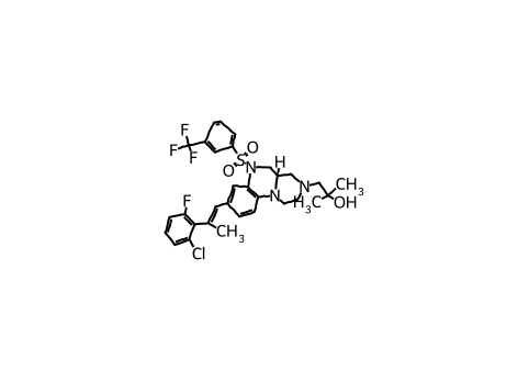 C/C(=C\c1ccc2c(c1)N(S(=O)(=O)c1cccc(C(F)(F)F)c1)C[C@@H]1CN(CC(C)(C)O)CCN21)c1c(F)cccc1Cl